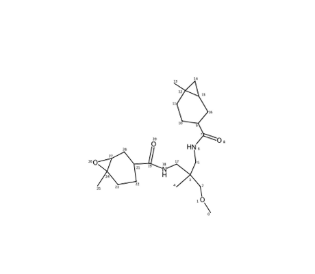 COCC(C)(CNC(=O)C1CCC2(C)CC2C1)CNC(=O)C1CCC2(C)OC2C1